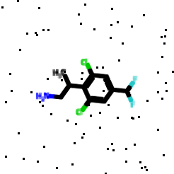 CC(CN)c1c(Cl)cc(C(F)F)cc1Cl